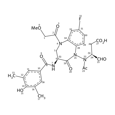 COCC(=O)N1C[C@H](NC(=O)c2cc(C)c(O)c(C)c2)C(=O)N(N(C(C)=O)[C@H](C=O)CC(=O)O)c2ccc(F)cc21